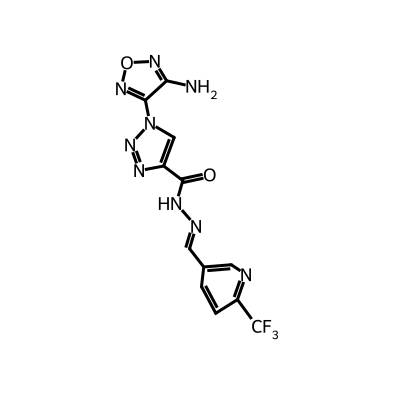 Nc1nonc1-n1cc(C(=O)NN=Cc2ccc(C(F)(F)F)nc2)nn1